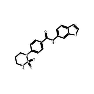 O=C(Nc1ccc2ccoc2c1)c1ccc(N2CCCNS2(=O)=O)cc1